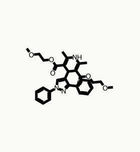 COCCOC(=O)C1=C(C)NC(C)=C(C(=O)OCCOC)C1c1cn(-c2ccccc2)nc1-c1ccccc1